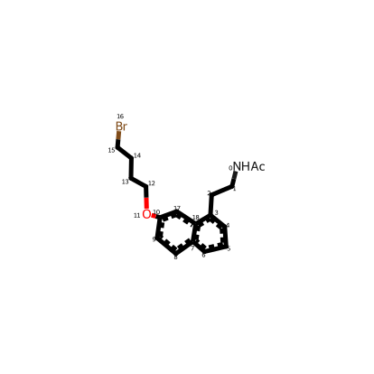 CC(=O)NCCc1cccc2ccc(OCCCCBr)cc12